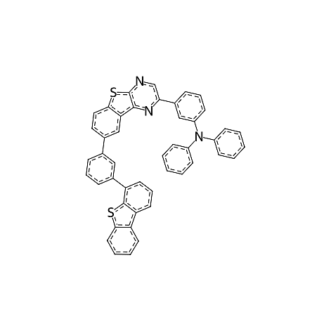 c1ccc(N(c2ccccc2)c2cccc(-c3cnc4sc5ccc(-c6cccc(-c7cccc8c7sc7ccccc78)c6)cc5c4n3)c2)cc1